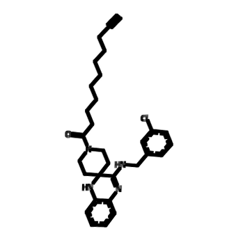 C#CCCCCCCCCC(=O)N1CCC2(CC1)Nc1ccccc1N=C2NCc1cccc(Cl)c1